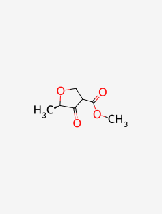 COC(=O)C1CO[C@H](C)C1=O